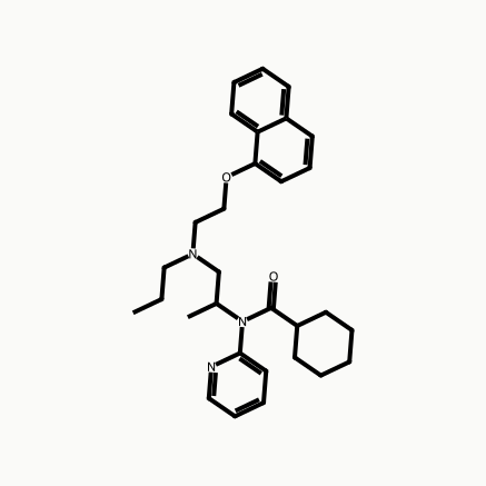 CCCN(CCOc1cccc2ccccc12)CC(C)N(C(=O)C1CCCCC1)c1ccccn1